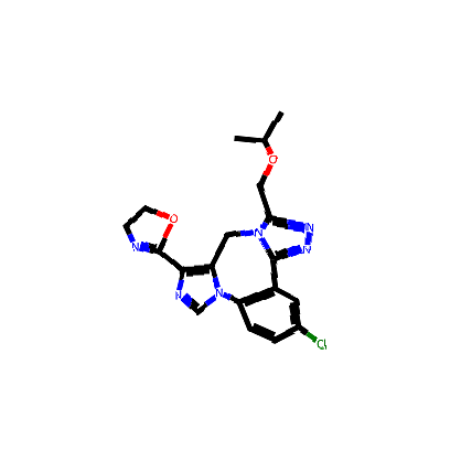 CC(C)OCc1nnc2n1Cc1c(C3=NCCO3)ncn1-c1ccc(Cl)cc1-2